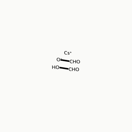 O=CO.O=C[O-].[Cs+]